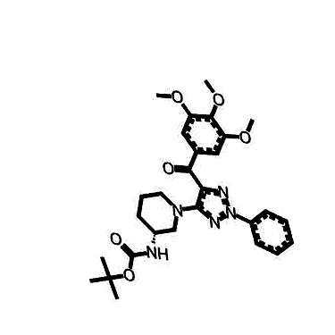 COc1cc(C(=O)c2nn(-c3ccccc3)nc2N2CCC[C@@H](NC(=O)OC(C)(C)C)C2)cc(OC)c1OC